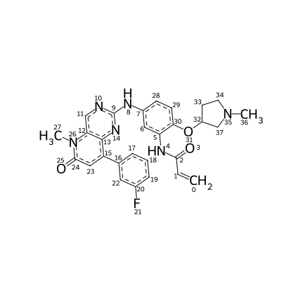 C=CC(=O)Nc1cc(Nc2ncc3c(n2)c(-c2cccc(F)c2)cc(=O)n3C)ccc1OC1CCN(C)C1